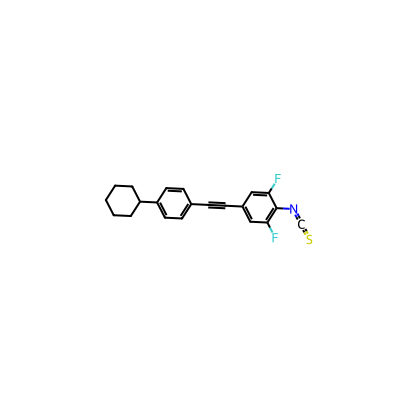 Fc1cc(C#Cc2ccc(C3CCCCC3)cc2)cc(F)c1N=C=S